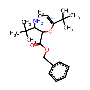 C/C=C(\OC(C(=O)OCc1ccccc1)C(N)C(C)(C)C)C(C)(C)C